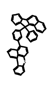 c1ccc(C2(c3cccc(-c4ccc5c6c(cccc46)-c4ccccc4S5)c3)c3ccccc3-c3ccc4ccccc4c32)cc1